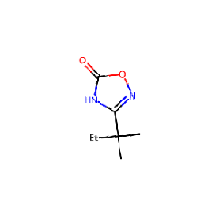 CCC(C)(C)c1noc(=O)[nH]1